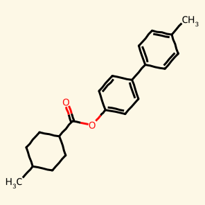 Cc1ccc(-c2ccc(OC(=O)C3CCC(C)CC3)cc2)cc1